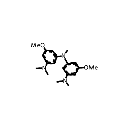 COc1cc(N(C)C)cc(N(C)c2cc(OC)cc(N(C)C)c2)c1